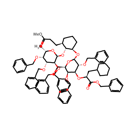 COC(=O)CC[C@H]1CCC[C@@H](O[C@@H]2O[C@H](COCc3ccccc3)[C@H](OCc3ccccc3)[C@H](O[C@@H](CC3CCCCC3)C(=O)OCc3ccccc3)[C@H]2OCc2ccccc2)[C@@H]1O[C@@H]1O[C@@H](C)[C@@H](OCc2ccccc2)[C@@H](OCc2ccccc2)[C@@H]1OCc1ccccc1